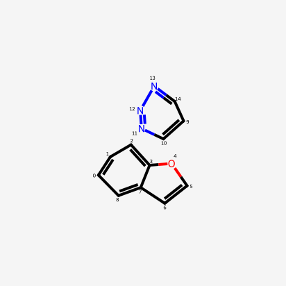 c1ccc2occc2c1.c1cnnnc1